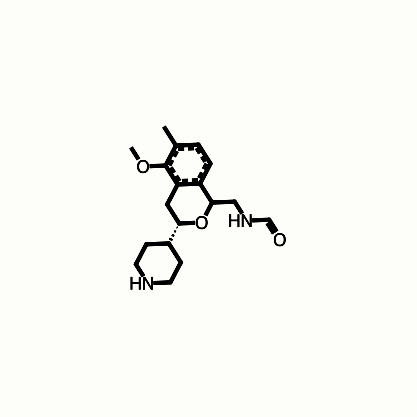 COc1c(C)ccc2c1C[C@@H](C1CCNCC1)OC2CNC=O